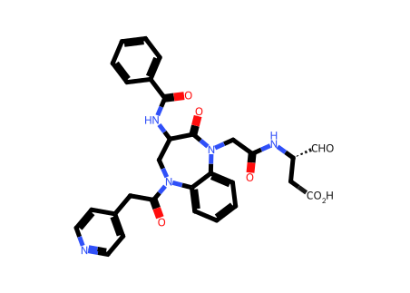 O=C[C@H](CC(=O)O)NC(=O)CN1C(=O)C(NC(=O)c2ccccc2)CN(C(=O)Cc2ccncc2)c2ccccc21